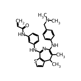 C=CC(=O)Nc1cccc(NC2=NC(Nc3ccc(CN(C)C)cc3)=C(C)C(C)c3ccsc32)c1